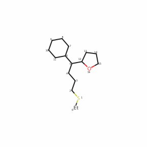 CCSCCCC(C1CCCCC1)C1CCCO1